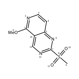 COc1nccc2nc(S(C)(=O)=O)ncc12